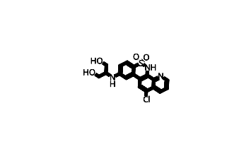 O=S1(=O)Nc2c(cc(Cl)c3cccnc23)-c2cc(NC(CO)CO)ccc21